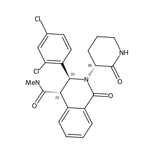 CNC(=O)[C@H]1c2ccccc2C(=O)N([C@@H]2CCCNC2=O)[C@@H]1c1ccc(Cl)cc1Cl